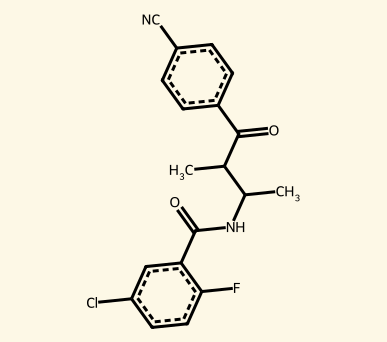 CC(NC(=O)c1cc(Cl)ccc1F)C(C)C(=O)c1ccc(C#N)cc1